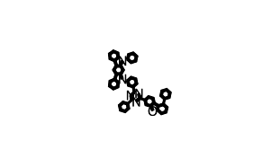 c1ccc(-c2nc(-c3cccc(-n4c5ccccc5c5cc6c7ccccc7n(-c7ccccc7)c6cc54)c3)nc(-c3ccc4c(c3)oc3cccc(-c5ccccc5)c34)n2)cc1